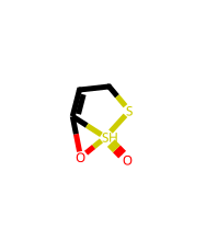 O=[SH]12OC1=CCS2